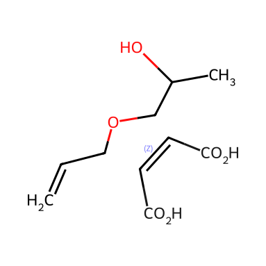 C=CCOCC(C)O.O=C(O)/C=C\C(=O)O